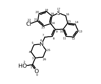 O=C(O)C1CCN(CC=C2c3ccccc3CSc3ccc(Cl)cc32)CC1